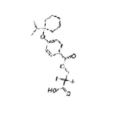 CC(C)C1(Oc2ccc(C(=O)OCC(F)(F)C(=O)O)cc2)CCCCC1